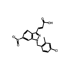 Cc1cc(Cl)ccc1Cn1nc(C=CC(=O)O)c2ccc([N+](=O)[O-])cc21